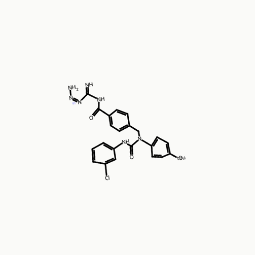 CC(C)(C)c1ccc(N(Cc2ccc(C(=O)NC(=N)/N=N\N)cc2)C(=O)Nc2cccc(Cl)c2)cc1